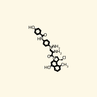 Cc1cccc2c(O)cc3c(c12)[C@H](CCl)CN3C(=O)/C(N)=C/N(N)c1ccc(NC(=O)c2ccc(O)cc2)cc1